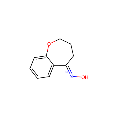 O/N=C1\CCCOc2ccccc21